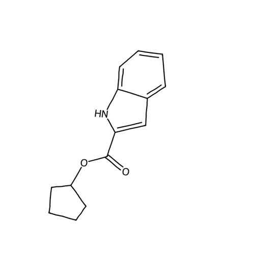 O=C(OC1CCCC1)c1cc2ccccc2[nH]1